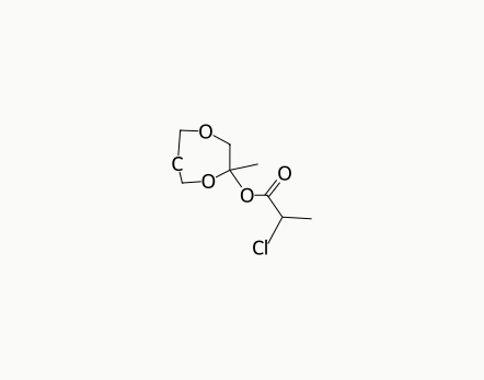 CC(Cl)C(=O)OC1(C)COCCCO1